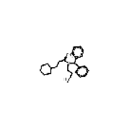 C=C(CCC1CCCCC1)N(CCC)C(c1ccccc1)c1ccccc1